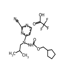 CC(C)CN(NC(=O)OCC1CCCC1)c1ccnc(C#N)n1.O=C(O)C(F)(F)F